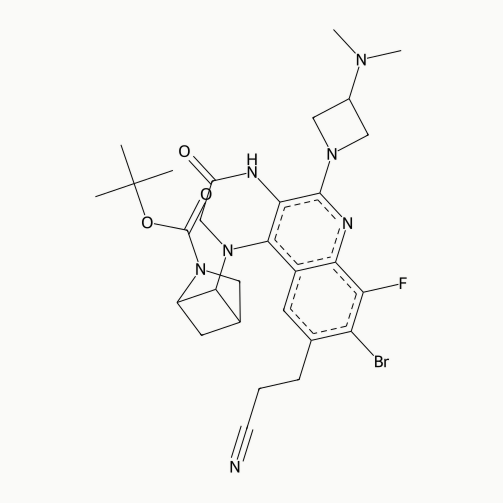 CN(C)C1CN(c2nc3c(F)c(Br)c(CCC#N)cc3c3c2NC(=O)CN3C2C3CC2N(C(=O)OC(C)(C)C)C3)C1